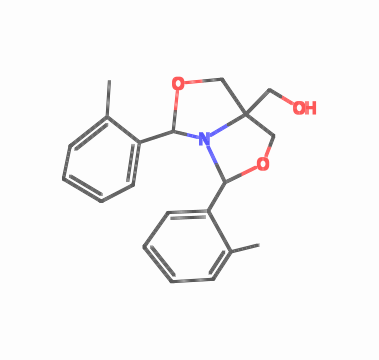 Cc1ccccc1C1OCC2(CO)COC(c3ccccc3C)N12